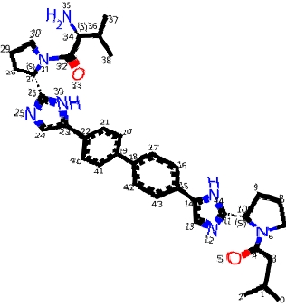 CC(C)CC(=O)N1CCC[C@H]1c1ncc(-c2ccc(-c3ccc(-c4cnc([C@@H]5CCCN5C(=O)[C@@H](N)C(C)C)[nH]4)cc3)cc2)[nH]1